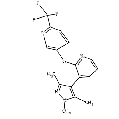 Cc1nn(C)c(C)c1-c1cccnc1Oc1ccc(C(F)(F)F)nc1